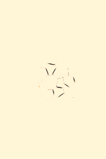 CC1C=CC=CC1(C)C1c2cc(C(C)(C)C)cc(C(C)(C)C)c2OP(=O)(O)Oc2c1cc(C(C)(C)C)cc2C(C)(C)C